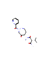 CC(C)[C@@H](C(N)=O)C(=O)N(C)[C@H]1CCNN(C(=O)c2ccccn2)CC1=O